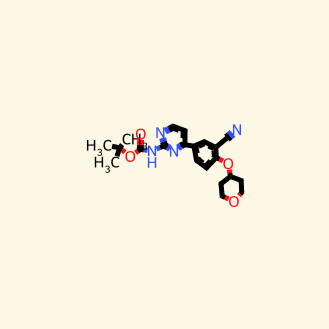 CC(C)(C)OC(=O)Nc1nccc(-c2ccc(OC3CCOCC3)c(C#N)c2)n1